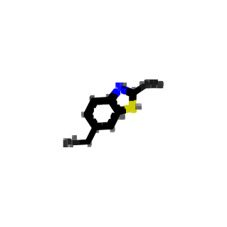 CSc1nc2ccc(CC(C)C)cc2s1